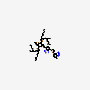 CCCCCCc1cc(-c2c3cc(-c4c(F)cc(-c5ccc(-c6cc(F)c(C)c7nsnc67)s5)c5nsnc45)sc3c(-c3cc(CCCCCC)c(CC(CC)CCCC)s3)c3cc(C)sc23)sc1CC(CC)CCCC